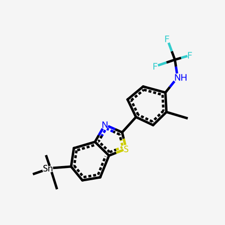 Cc1cc(-c2nc3c[c]([Sn]([CH3])([CH3])[CH3])ccc3s2)ccc1NC(F)(F)F